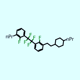 CCCc1cccc(C(F)(F)C(F)(F)c2cccc(CCC3CCC(CCC)CC3)c2F)c1F